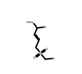 CCCCCCC(Br)C=CCS(=O)(=O)CBr